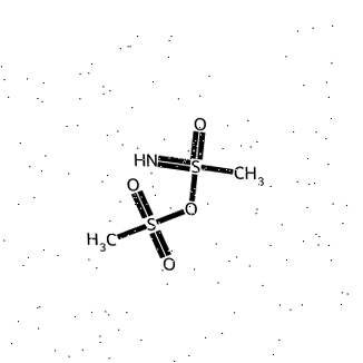 CS(=N)(=O)OS(C)(=O)=O